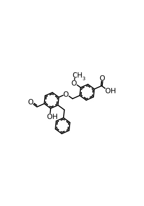 COc1cc(C(=O)O)ccc1COc1ccc(C=O)c(O)c1Cc1ccccc1